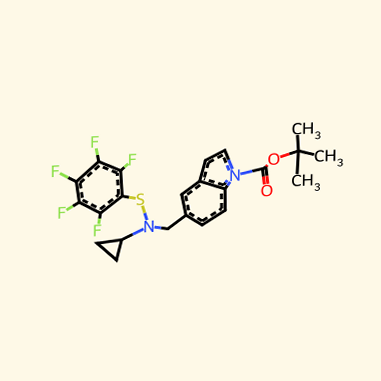 CC(C)(C)OC(=O)n1ccc2cc(CN(Sc3c(F)c(F)c(F)c(F)c3F)C3CC3)ccc21